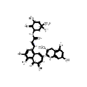 CO[C@@H]1Cc2c(O)cc(O)cc2O[C@@H]1c1cc(O)c(=O)c2c(O)c(O)cc(/C=C/C(=O)OC3CC(O)(C(=O)O)CC(O)C3O)c2c1